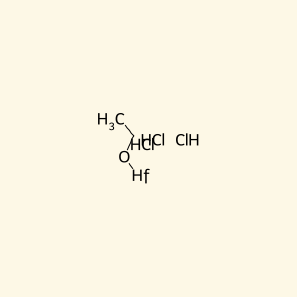 CC[O][Hf].Cl.Cl.Cl